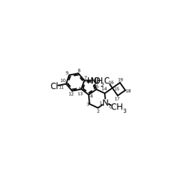 CN1CCc2c([nH]c3ccc(Cl)cc23)C1C1(C(=O)O)CCC1